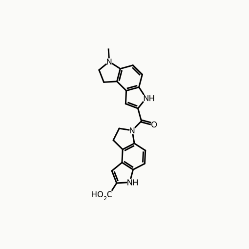 CN1CCc2c1ccc1[nH]c(C(=O)N3CCc4c3ccc3[nH]c(C(=O)O)cc43)cc21